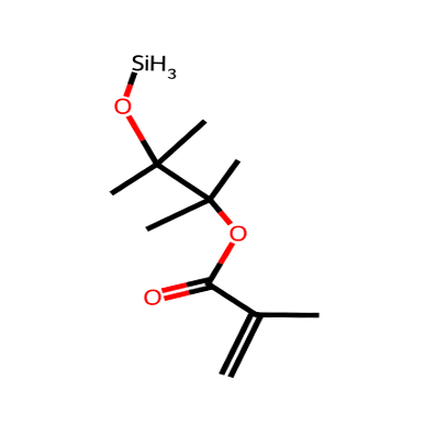 C=C(C)C(=O)OC(C)(C)C(C)(C)O[SiH3]